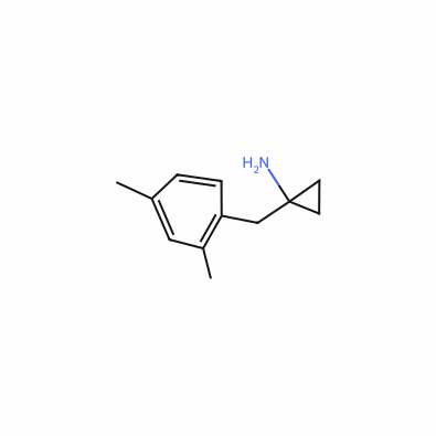 Cc1ccc(CC2(N)CC2)c(C)c1